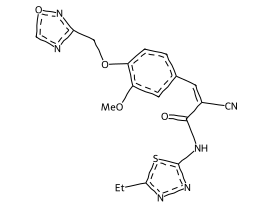 CCc1nnc(NC(=O)C(C#N)=Cc2ccc(OCc3ncon3)c(OC)c2)s1